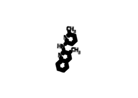 Cc1cccc(Nc2nc3ccccc3cc2C)n1